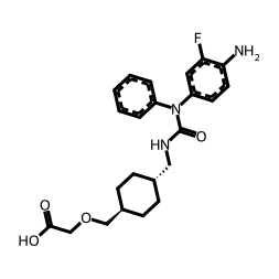 Nc1ccc(N(C(=O)NC[C@H]2CC[C@H](COCC(=O)O)CC2)c2ccccc2)cc1F